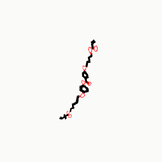 C=CC(=O)OCCCCCOc1ccc(C(=O)Oc2ccc(OCCCCCCOC(=O)C(C)(C)CC)cc2)cc1